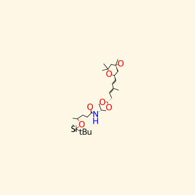 CC(/C=C/[C@@H]1C[C@]2(CO2)CC(C)(C)O1)=C\C[C@H]1OC[C@@H](NC(=O)CCC(C)O[Si](C)(C)C(C)(C)C)CO1